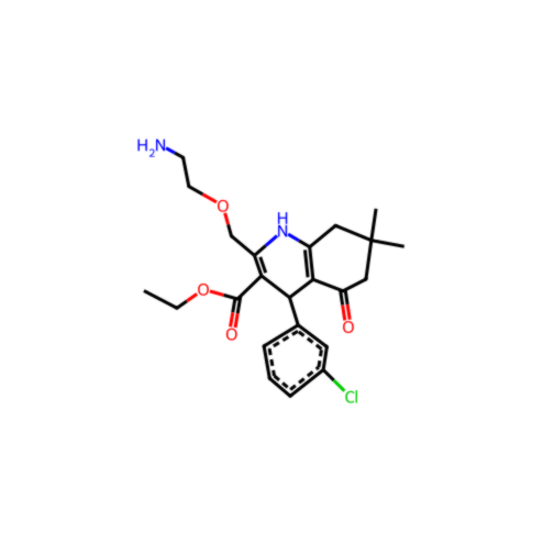 CCOC(=O)C1=C(COCCN)NC2=C(C(=O)CC(C)(C)C2)C1c1cccc(Cl)c1